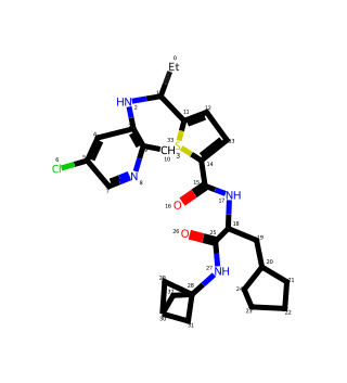 CCC(Nc1cc(Cl)cnc1C)c1ccc(C(=O)NC(CC2CCCC2)C(=O)NC23CC(C2)C3)s1